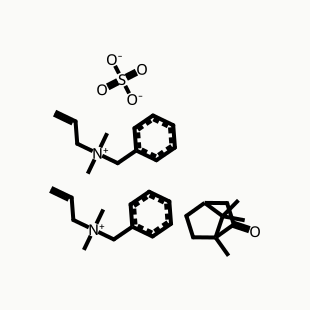 C=CC[N+](C)(C)Cc1ccccc1.C=CC[N+](C)(C)Cc1ccccc1.CC12CCC(CC1=O)C2(C)C.O=S(=O)([O-])[O-]